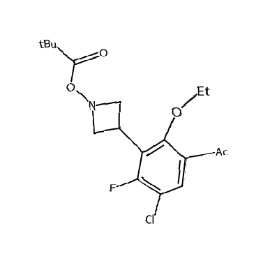 CCOc1c(C(C)=O)cc(Cl)c(F)c1C1CN(OC(=O)C(C)(C)C)C1